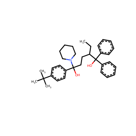 CCC(CCC(O)(c1ccc(C(C)(C)C)cc1)N1CCCCC1)C(O)(c1ccccc1)c1ccccc1